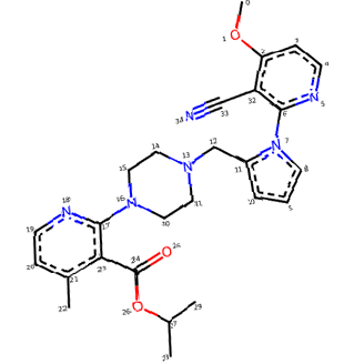 COc1ccnc(-n2cccc2CN2CCN(c3nccc(C)c3C(=O)OC(C)C)CC2)c1C#N